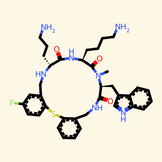 CN1C(=O)[C@H](CCCCN)NC(=O)[C@@H](CCCN)NCc2cc(F)ccc2Sc2ccccc2CNC(=O)[C@@H]1Cc1c[nH]c2ccccc12